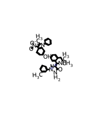 Cc1c([N+](=O)[O-])c2ccc(O)cc2n1-c1ccccc1.Cc1cccc(/N=N/C(C(N)=O)=C2/NC(C)(C)Cc3ccccc32)c1